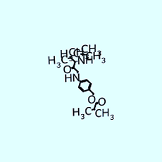 CC(C)C(=O)OCc1ccc(NCC(=O)[C@@H](NC(C)(C)C)C(C)C)cc1